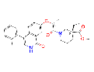 CC[C@@]1(C(=O)OC)CCCN(C(=O)[C@@H](C)Oc2ccc3c(-c4ccccc4C)c[nH]c(=O)c3c2)C1